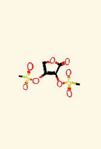 CS(=O)(=O)OC1=C(OS(C)(=O)=O)C(=O)OC1